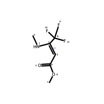 CN/C(=C\C(=O)OC)C(F)(F)F